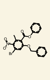 Cc1c(C(=O)Oc2ccccc2)c(OCc2ccccc2)cc(Br)c1[N+](=O)[O-]